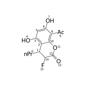 CCCC1c2c(O)cc(O)c(C(C)=O)c2OC(=O)C1F